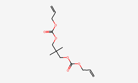 C=CCOC(=O)OCC(C)(C)COC(=O)OCC=C